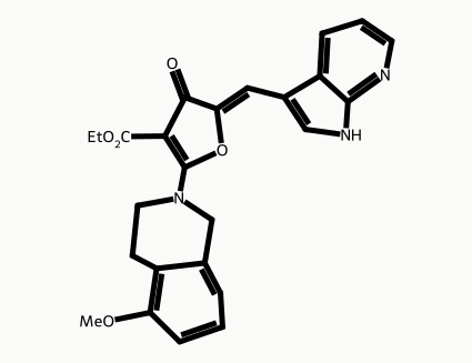 CCOC(=O)C1=C(N2CCc3c(cccc3OC)C2)O/C(=C\c2c[nH]c3ncccc23)C1=O